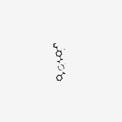 COc1cc(C(=O)C(=O)N2CCN(C(=O)c3ccccc3)C[C@H]2C)ccc1-c1cc[nH]n1